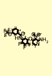 Nc1nccc(Oc2cc(NC(=O)c3cccc(OC(F)(F)F)c3)c(F)c(F)c2F)c1[N+](=O)[O-]